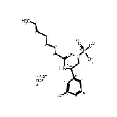 CCCCCCCC(=O)NC(COP(=O)([O-])[O-])c1cccc(F)c1.[Na+].[Na+]